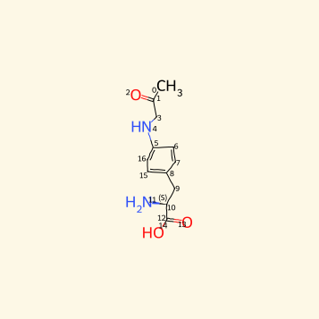 CC(=O)CNc1ccc(C[C@H](N)C(=O)O)cc1